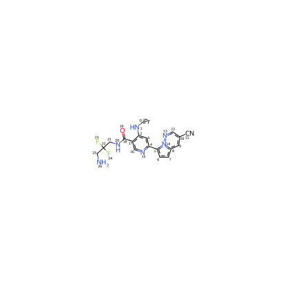 CC(C)Nc1cc(-c2ccc3cc(C#N)cnn23)ncc1C(=O)NCC(F)(F)CN